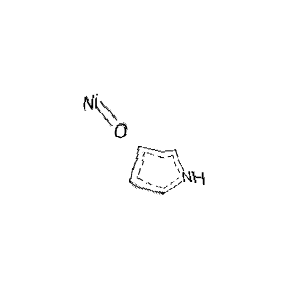 [O]=[Ni].c1cc[nH]c1